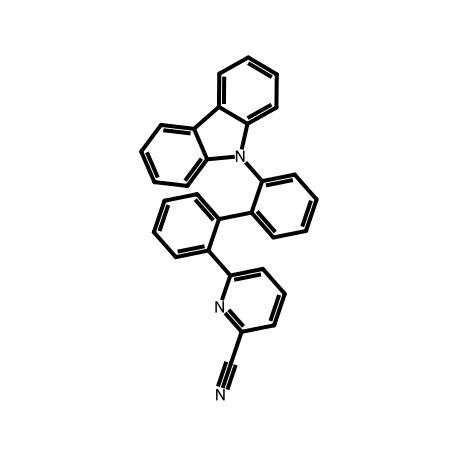 N#Cc1cccc(-c2ccccc2-c2ccccc2-n2c3ccccc3c3ccccc32)n1